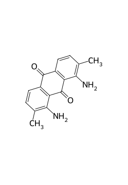 Cc1ccc2c(c1N)C(=O)c1c(ccc(C)c1N)C2=O